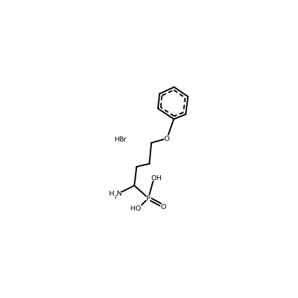 Br.NC(CCCOc1ccccc1)P(=O)(O)O